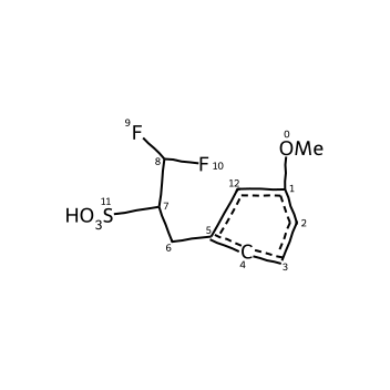 COc1cccc(CC(C(F)F)S(=O)(=O)O)c1